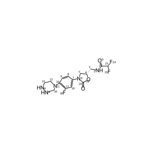 O=C(NC[C@H]1CN(c2ccc(N3CCNNC3)c(F)c2)C(=O)O1)C(F)F